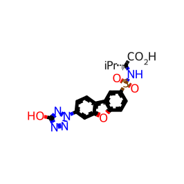 CC(C)[C@@H](NS(=O)(=O)c1ccc2oc3cc(-n4nnc(O)n4)ccc3c2c1)C(=O)O